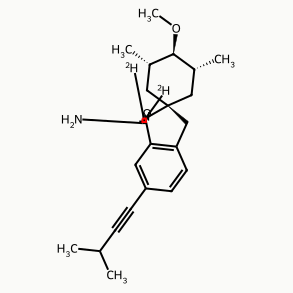 [2H]C1([2H])OC(N)=NC12c1cc(C#CC(C)C)ccc1C[C@@]21C[C@@H](C)[C@H](OC)[C@@H](C)C1